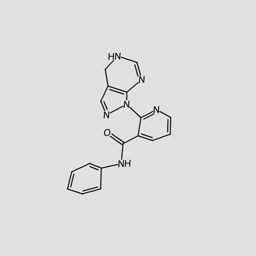 O=C(Nc1ccccc1)c1cccnc1-n1ncc2c1N=CNC2